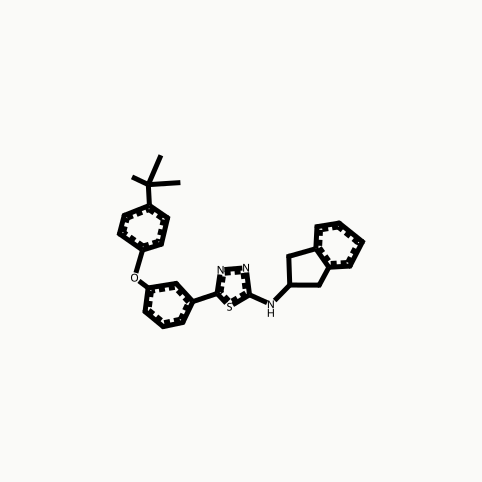 CC(C)(C)c1ccc(Oc2cccc(-c3nnc(NC4Cc5ccccc5C4)s3)c2)cc1